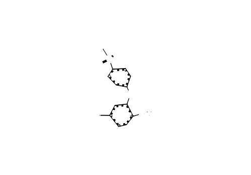 COc1ccc(Cl)cc1Oc1ccc(S(C)(=O)=O)cc1